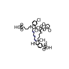 CC1(C)C(/C=C/C=C/C=C2/Nc3ccc(S(=O)(=O)O)cc3C2(C)CCCCCC(=O)ON2C(=O)CCC2=O)=[N+](CCCCS(=O)(=O)O)c2ccc(Cl)cc21